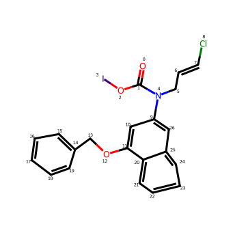 O=C(OI)N(CC=CCl)c1cc(OCc2ccccc2)c2ccccc2c1